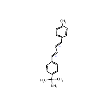 Cc1ccc(/C=C/C=C/c2ccc(C(C)(C)N)cc2)cc1